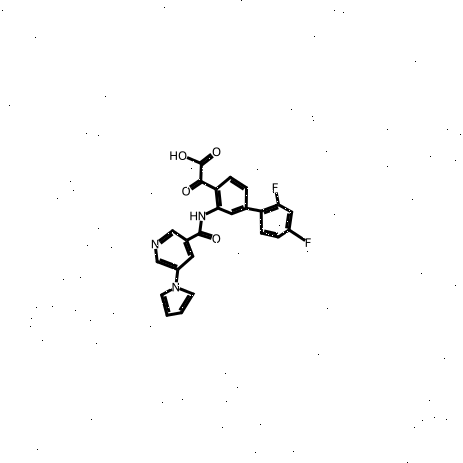 O=C(O)C(=O)c1ccc(-c2ccc(F)cc2F)cc1NC(=O)c1cncc(-n2cccc2)c1